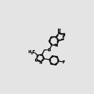 Cc1onc(-c2ccc(F)cc2)c1COc1ccc2[nH]ncc2n1